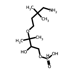 CC(C)(CN)CCOC(C)(C)C(O)CO[PH](=O)O